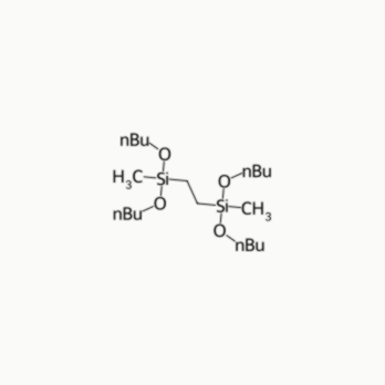 CCCCO[Si](C)(CC[Si](C)(OCCCC)OCCCC)OCCCC